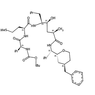 CSCC[C@H](NC(=O)[C@@H](NC(=O)OC(C)(C)C)C(C)C)C(=O)N[C@@H](CC(C)C)[C@@H](O)C[C@@H](C)C(=O)N[C@@H](C(C)C)[C@H]1C[C@H](Cc2ccccc2)CCO1